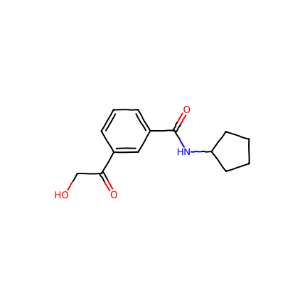 O=C(CO)c1cccc(C(=O)NC2CCCC2)c1